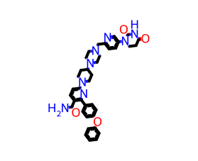 NC(=O)c1ccc(N2CCC(N3CCN(Cc4ccc(N5CCC(=O)NC5=O)cn4)CC3)CC2)nc1-c1ccc(Oc2ccccc2)cc1